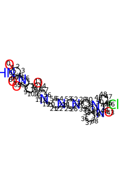 O=C1CC[C@H](N2Cc3c(ccc4c3OCC43CCN(CC4CCN(C5CCN(c6ccc7c(c6)C6(CCCCC6)c6nc(=O)c8c(Cl)cccc8n6-7)CC5)CC4)CC3)C2=O)C(=O)N1